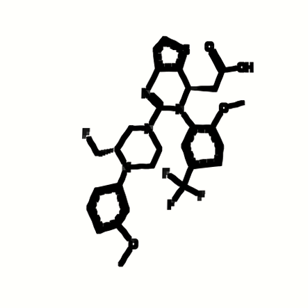 COc1cccc(N2CCN(C3=Nc4ccsc4[C@@H](CC(=O)O)N3c3cc(C(F)(F)F)ccc3OC)C[C@H]2CF)c1